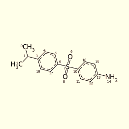 CC(C)c1ccc(S(=O)(=O)c2ccc(N)cc2)cc1